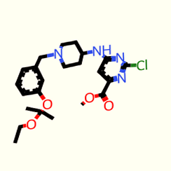 CCOC(C)(C)Oc1cccc(CN2CCC(Nc3cc(C(=O)OC)nc(Cl)n3)CC2)c1